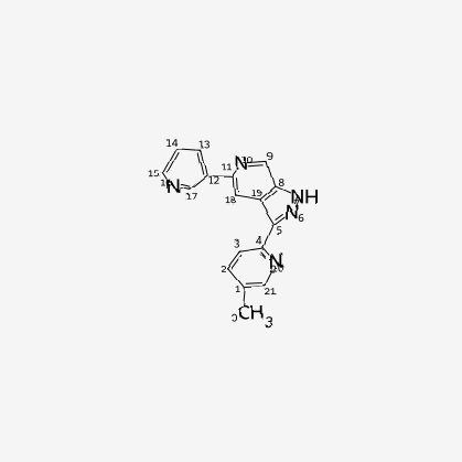 Cc1ccc(-c2n[nH]c3cnc(-c4cccnc4)cc23)nc1